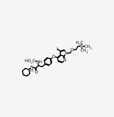 C[Si](C)(C)CCOCn1cc(I)c2c(Oc3ccc(CC(NC(=O)O)C(=O)NC4CCCCC4)cc3)ccnc21